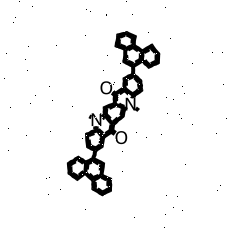 Cn1c2ccc(-c3cc4ccccc4c4ccccc34)cc2c(=O)c2cc3c(cc21)c(=O)c1cc(-c2cc4ccccc4c4ccccc24)ccc1n3C